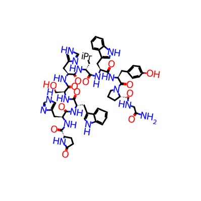 CC(C)C[C@@H](NC(=O)[C@H](Cc1c[nH]cn1)NC(=O)[C@H](CO)NC(=O)[C@H](Cc1c[nH]c2ccccc12)NC(=O)[C@H](Cc1c[nH]cn1)NC(=O)[C@@H]1CCC(=O)N1)C(=O)N[C@@H](Cc1c[nH]c2ccccc12)C(=O)N[C@@H](Cc1ccc(O)cc1)C(=O)N1CCC[C@H]1C(=O)NCC(N)=O